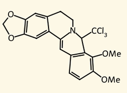 COc1ccc2c(c1OC)C(C(Cl)(Cl)Cl)N1CCc3cc4c(cc3C1=C2)OCO4